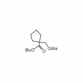 COCC1(C(=O)OCC(C)C)CCCC1